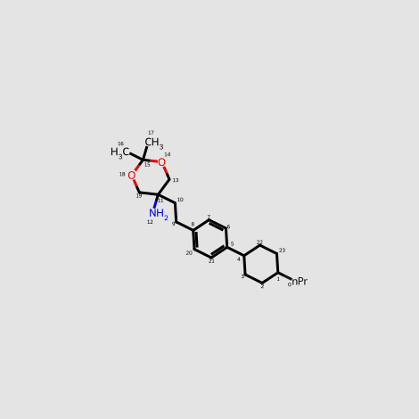 CCCC1CCC(c2ccc(CCC3(N)COC(C)(C)OC3)cc2)CC1